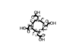 C[C@H]1CN(CC(=O)O)[C@@H](C)CN(CC(=O)O)[C@@H](C)CN(CC(=O)O)[C@@H](C)CN1CC(=O)O